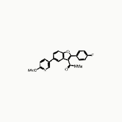 CNC(=O)c1c(-c2ccc(F)cc2)oc2ccc(-c3ccc(OC)nc3)cc12